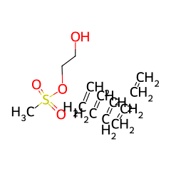 C=C.C=C.C=C.C=C.C=C.CS(=O)(=O)OCCO